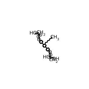 C=C(CO)C(=O)OCOc1ccc(-c2ccc(-c3ccc(OCOC(O)C(=C)CO)cc3)cc2CCCCCCC)cc1